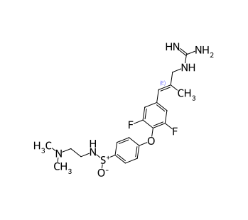 C/C(=C\c1cc(F)c(Oc2ccc([S+]([O-])NCCN(C)C)cc2)c(F)c1)CNC(=N)N